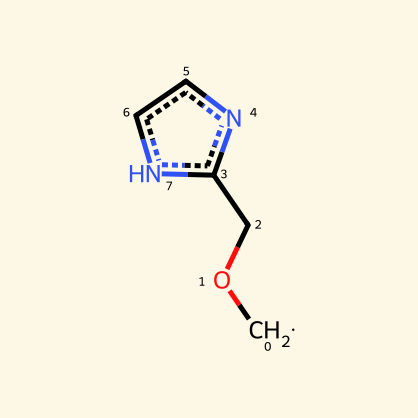 [CH2]OCc1ncc[nH]1